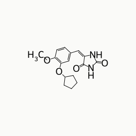 COc1ccc(/C=C2/NC(=O)NC2=O)cc1OC1CCCC1